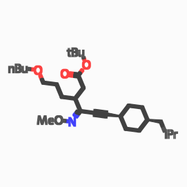 CCCCOCCCC(CC(=O)OC(C)(C)C)C(C#C[C@H]1CC[C@@H](CC(C)C)CC1)=NOC